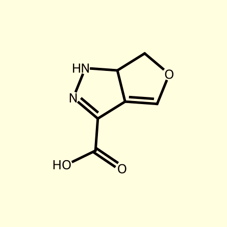 O=C(O)C1=NNC2COC=C12